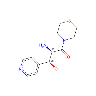 N[C@@H](C(=O)N1CCSCC1)[C@@H](O)c1ccncc1